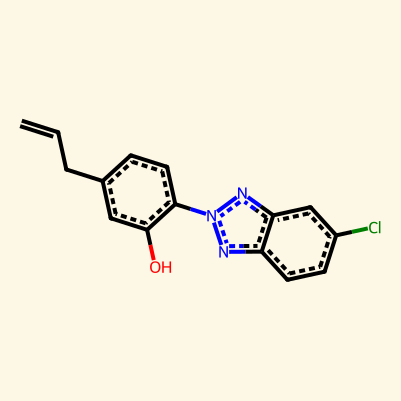 C=CCc1ccc(-n2nc3ccc(Cl)cc3n2)c(O)c1